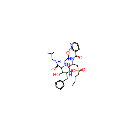 CCCCS(=O)(=O)CC(NC(=O)c1cccnc1)C(=O)NC(Cc1ccccc1)C(O)C(NCCOC)C(=O)NCC(C)C